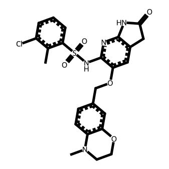 Cc1c(Cl)cccc1S(=O)(=O)Nc1nc2c(cc1OCc1ccc3c(c1)OCCN3C)CC(=O)N2